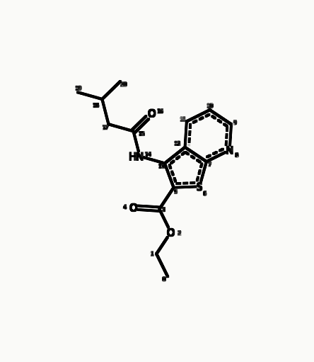 CCOC(=O)c1sc2ncccc2c1NC(=O)CC(C)C